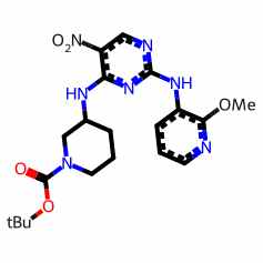 COc1ncccc1Nc1ncc([N+](=O)[O-])c(NC2CCCN(C(=O)OC(C)(C)C)C2)n1